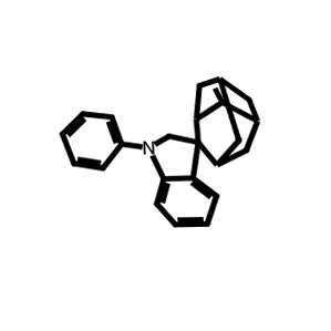 CC1C2CC3CC(C2)C2(CN(c4ccccc4)c4ccccc42)C1C3